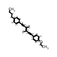 CCCCc1ccc(C#C/C(F)=C(\F)C#Cc2ccc(OCC)cc2)cc1